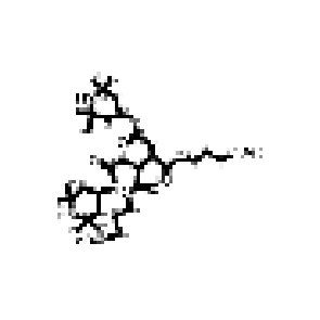 CCCCCCCCCCCCCOC(=O)C(CC(=O)OC1CC(C)(C)NC(C)(C)C1)C(CC(=O)OC1CC(C)(C)NC(C)(C)C1)C(=O)OCCCCCCCCCCCCC